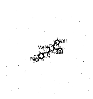 CNc1nc(N2CC[C@@H](O)C2)c(-c2ccn[nH]2)cc1C(=O)Nc1ccc(OC(F)(F)Cl)cc1